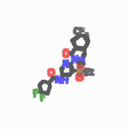 CCS(=O)(=O)c1cc(NC(=O)C2CCC(F)(F)CC2)cnc1-n1ncc2ccc(C(F)(F)F)cc2c1=O